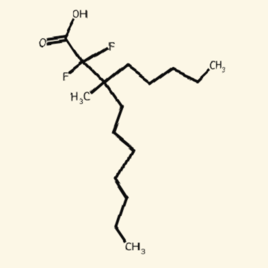 CCCCCCCC(C)(CCCCC)C(F)(F)C(=O)O